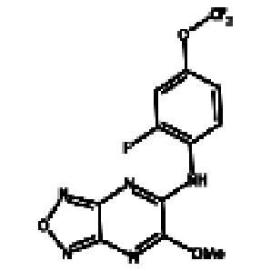 COc1nc2nonc2nc1Nc1ccc(OC(F)(F)F)cc1F